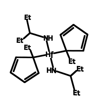 CCC(CC)[NH][Hf]([NH]C(CC)CC)([C]1(CC)C=CC=C1)[C]1(CC)C=CC=C1